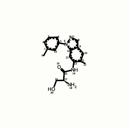 Cc1cccc(-n2ncc3cc(C)c(NC(=O)[C@@H](N)CO)cc32)c1